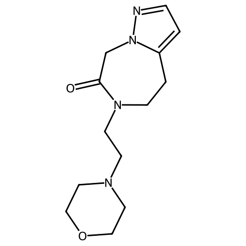 O=C1Cn2nccc2CCN1CCN1CCOCC1